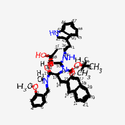 COc1ccccc1CN(C)C(=O)C(Cc1ccc2ccccc2c1)N(C(=O)OC(C)(C)C)C(C)N[C@H](CC(=O)O)Cc1c[nH]c2ccccc12